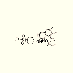 Cc1cc2cnc(NC3CCN(S(=O)(=O)C4CC4)CC3)nc2n([C@H]2CCC[C@]2(C)O)c1=O